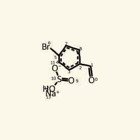 O=Cc1ccc(Br)cc1.O=S([O-])O.[Na+]